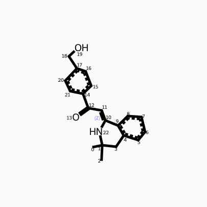 CC1(C)Cc2ccccc2/C(=C/C(=O)c2ccc(CO)cc2)N1